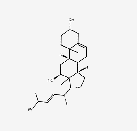 CC(C)C(C)/C=C/[C@@H](C)[C@H]1CC[C@H]2C3CC=C4CC(O)CCC4(C)[C@H]3C[C@H](O)C12C